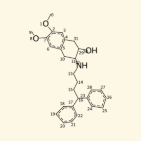 COc1cc2c(cc1OC)CC(NCCCC(c1ccccc1)c1ccccc1)C(O)C2